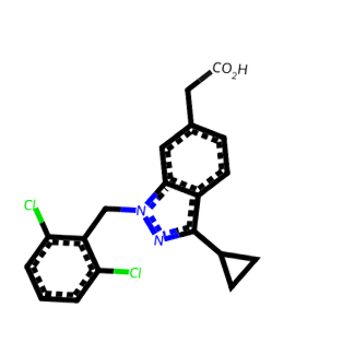 O=C(O)Cc1ccc2c(C3CC3)nn(Cc3c(Cl)cccc3Cl)c2c1